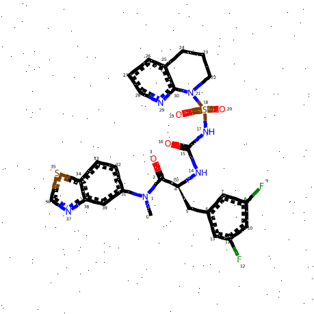 CN(C(=O)[C@H](Cc1cc(F)cc(F)c1)NC(=O)NS(=O)(=O)N1CCCc2cccnc21)c1ccc2scnc2c1